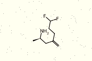 C=C(CCC(F)F)C[C@@H](C)N